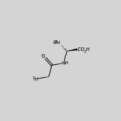 [2H]CC(=O)N[C@H](C(=O)O)[C@@H](C)CC